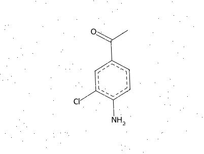 CC(=O)c1ccc(N)c(Cl)c1